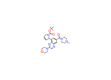 CN1CCN(C(=O)c2cc(C3C=CCN3C(=O)OC(C)(C)C)c3nc(N4CCOCC4)cnc3c2)CC1